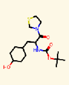 CC(C)(C)OC(=O)NC(CC1CCC(O)CC1)C(=O)N1CCSC1